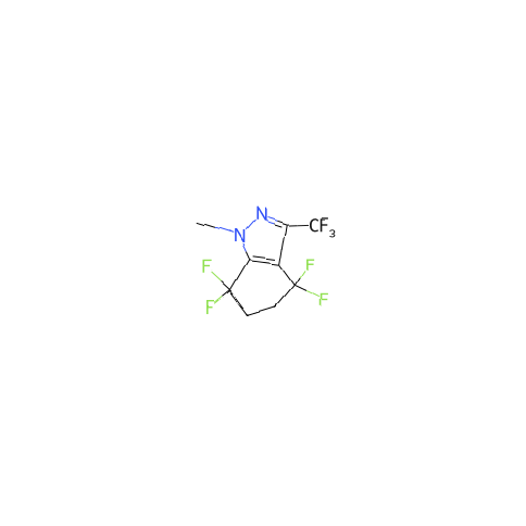 Cn1nc(C(F)(F)F)c2c1C(F)(F)CCC2(F)F